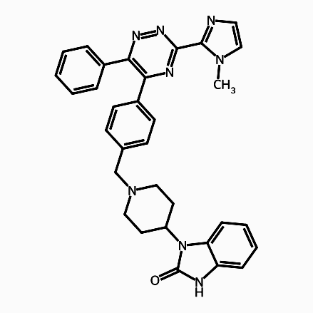 Cn1ccnc1-c1nnc(-c2ccccc2)c(-c2ccc(CN3CCC(n4c(=O)[nH]c5ccccc54)CC3)cc2)n1